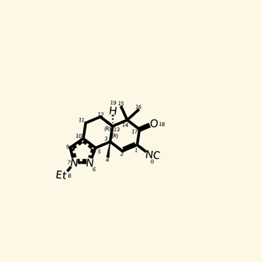 [C-]#[N+]C1=C[C@]2(C)c3nn(CC)cc3CC[C@H]2C(C)(C)C1=O